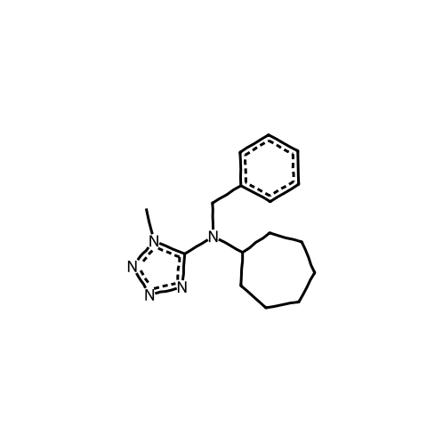 Cn1nnnc1N(Cc1ccccc1)C1CCCCCC1